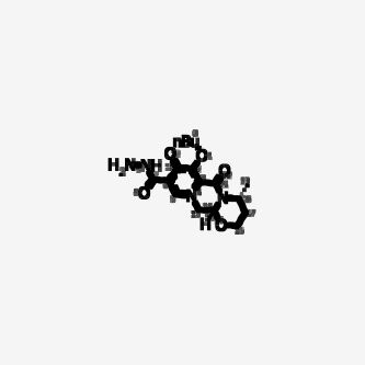 CCCCOc1c2n(cc(C(=O)NN)c1=O)C[C@@H]1OCC[C@@H](C)N1C2=O